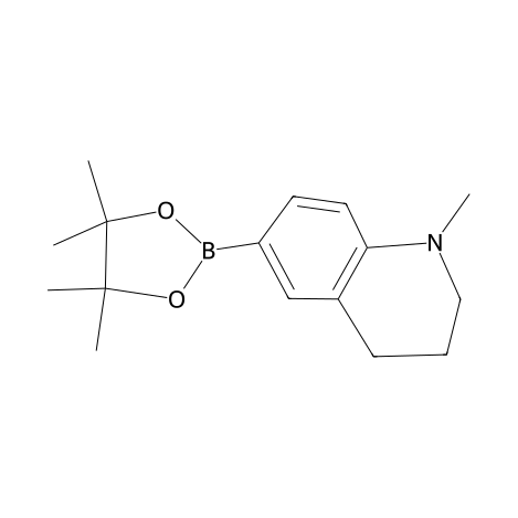 CN1CCCc2cc(B3OC(C)(C)C(C)(C)O3)ccc21